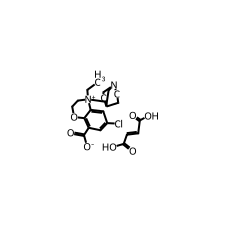 CC[N+]1(C2CN3CCC2CC3)CCOc2c(C(=O)[O-])cc(Cl)cc21.O=C(O)/C=C/C(=O)O